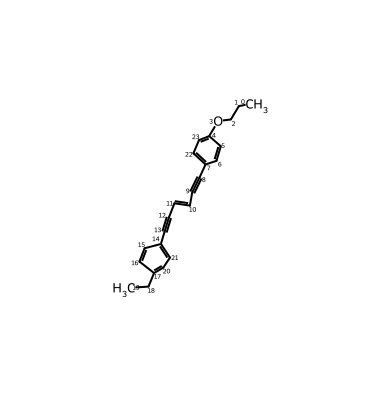 CCCOc1ccc(C#C/C=C/C#Cc2ccc(CC)cc2)cc1